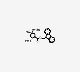 CC(C)(C)O[C@]1(O)C[C@@H](C(=O)O)N(C(=O)OCC2c3ccccc3-c3ccccc32)C1